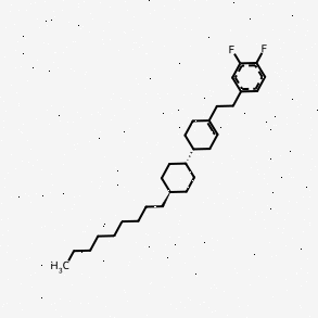 CCCCCCCCC[C@H]1CC[C@H](C2CC=C(CCc3ccc(F)c(F)c3)CC2)CC1